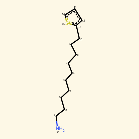 NCCCCCCCCCCc1cccs1